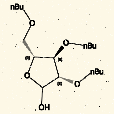 CCCCOC[C@H]1OC(O)[C@@H](OCCCC)[C@@H]1OCCCC